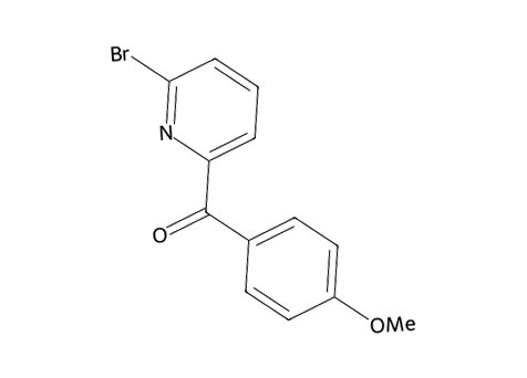 COc1ccc(C(=O)c2cccc(Br)n2)cc1